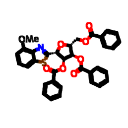 COc1cccc2sc([C@@H]3O[C@H](COC(=O)c4ccccc4)[C@@H](OC(=O)c4ccccc4)[C@H]3OC(=O)c3ccccc3)nc12